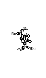 CC(C)(C)c1ccc(N(c2ccc(C(C)(C)C)cc2)c2ccc3c4c(c5c6ccccc6oc5c3c2)-c2c(c3ccc(N(c5ccc(C(C)(C)C)cc5)c5ccc(C(C)(C)C)cc5)cc3c3c2oc2ccccc23)C42c3ccccc3-c3ccccc32)cc1